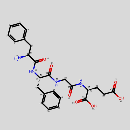 N[C@@H](Cc1ccccc1)C(=O)N[C@@H](Cc1ccccc1)C(=O)NCC(=O)N[C@@H](CCC(=O)O)C(=O)O